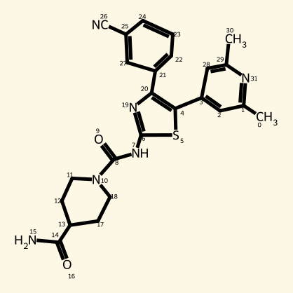 Cc1cc(-c2sc(NC(=O)N3CCC(C(N)=O)CC3)nc2-c2cccc(C#N)c2)cc(C)n1